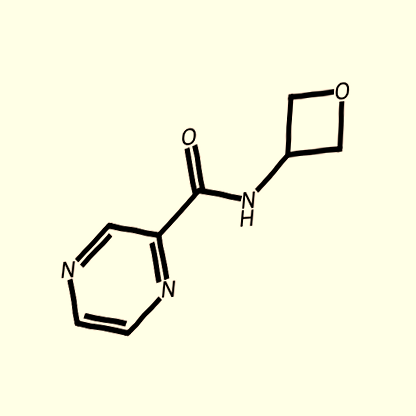 O=C(NC1COC1)c1cnccn1